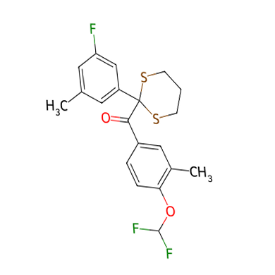 Cc1cc(F)cc(C2(C(=O)c3ccc(OC(F)F)c(C)c3)SCCCS2)c1